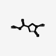 CCCCOC(=O)C1CC(=O)N(CCC)C1